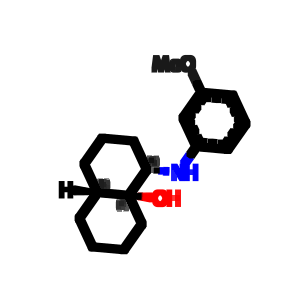 COc1cccc(N[C@H]2CCC[C@H]3CCCC[C@]32O)c1